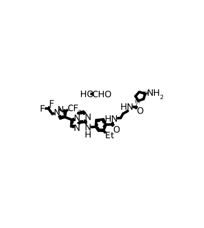 CCc1cc(Nc2nccn3c(-c4cn(CC(F)F)nc4C(F)(F)F)cnc23)ccc1C(=O)NCCCNC(=O)[C@@H]1CC[C@H](N)C1.O=CO